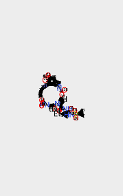 CC[C@H]1C[C@@]1(NC(=O)C1C[C@@H]2CN1C(=O)[C@H](C(C)(C)C)NC(=O)OCCC/C=C\c1c3c(cc4c1OCO4)CN(C3)C(=O)O2)C(=O)NS(=O)(=O)C1CC1